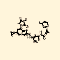 Cc1ccnc([C@H]2C[C@@H]2C(=O)Nc2cc(NCc3cn4cc(C5CC5)cc(N5CC(=O)N(C)C5=O)c4n3)cnn2)n1